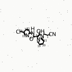 N#CCCn1c(O)c(C(=O)Nc2ccc(Cl)cn2)[n+]2ccccc12